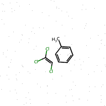 Cc1ccccc1.ClC=C(Cl)Cl